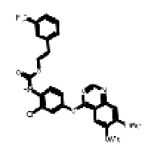 COc1cc2ncnc(Oc3ccc(NC(=O)OCCc4cccc(C(F)(F)F)c4)c(Cl)c3)c2cc1OC